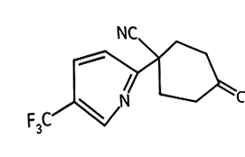 N#CC1(c2ccc(C(F)(F)F)cn2)CCC(=O)CC1